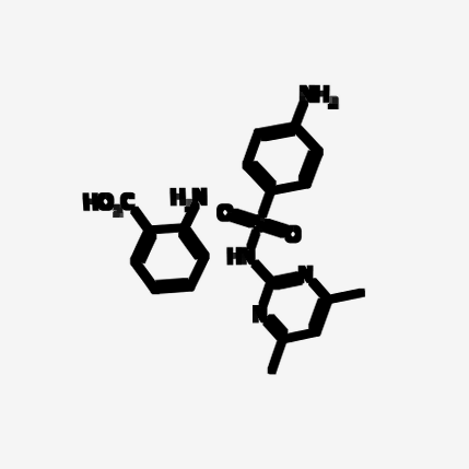 Cc1cc(C)nc(NS(=O)(=O)c2ccc(N)cc2)n1.Nc1ccccc1C(=O)O